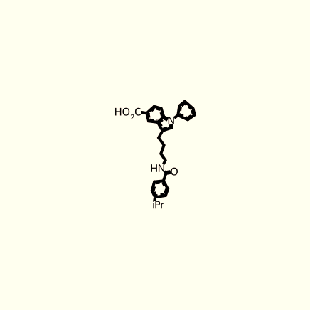 CC(C)c1ccc(C(=O)NCCCCc2cn(-c3ccccc3)c3ccc(C(=O)O)cc23)cc1